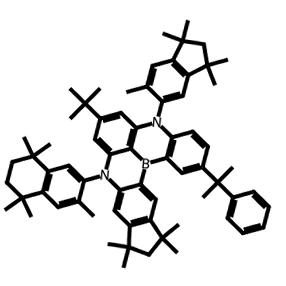 Cc1cc2c(cc1N1c3cc4c(cc3B3c5cc(C(C)(C)c6ccccc6)ccc5N(c5cc6c(cc5C)C(C)(C)CC6(C)C)c5cc(C(C)(C)C)cc1c53)C(C)(C)CC4(C)C)C(C)(C)CCC2(C)C